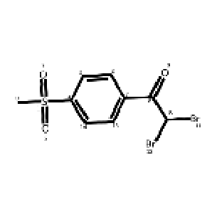 CS(=O)(=O)c1ccc(C(=O)C(Br)Br)cc1